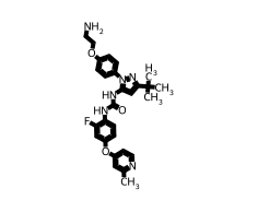 Cc1cc(Oc2ccc(NC(=O)Nc3cc(C(C)(C)C)nn3-c3ccc(OCCN)cc3)c(F)c2)ccn1